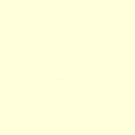 c1ccc(-c2nc(-c3ccccc3)nc(-c3ccc4ccccc4c3-c3ccc4c5ccccc5c5ccccc5c4c3)n2)cc1